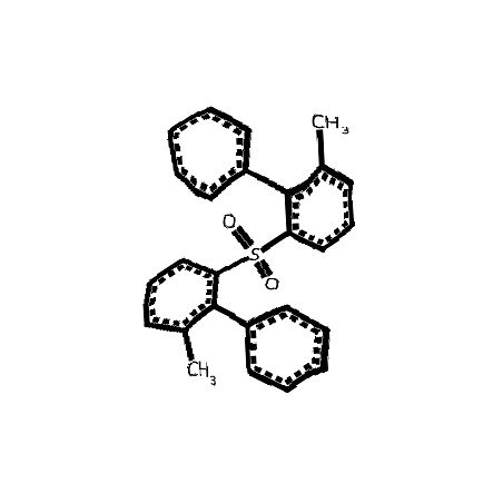 Cc1cccc(S(=O)(=O)c2cccc(C)c2-c2ccccc2)c1-c1ccccc1